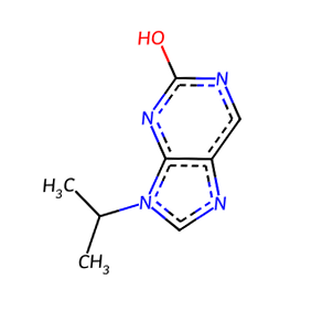 CC(C)n1cnc2cnc(O)nc21